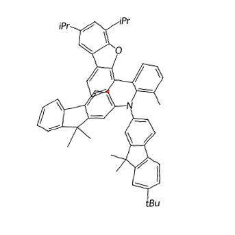 Cc1cccc(-c2cccc3c2oc2c(C(C)C)cc(C(C)C)cc23)c1N(c1ccc2c(c1)C(C)(C)c1ccccc1-2)c1ccc2c(c1)C(C)(C)c1cc(C(C)(C)C)ccc1-2